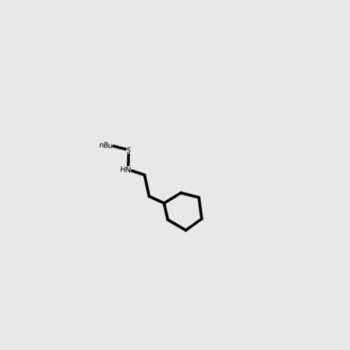 CCCCSNCCC1CCCCC1